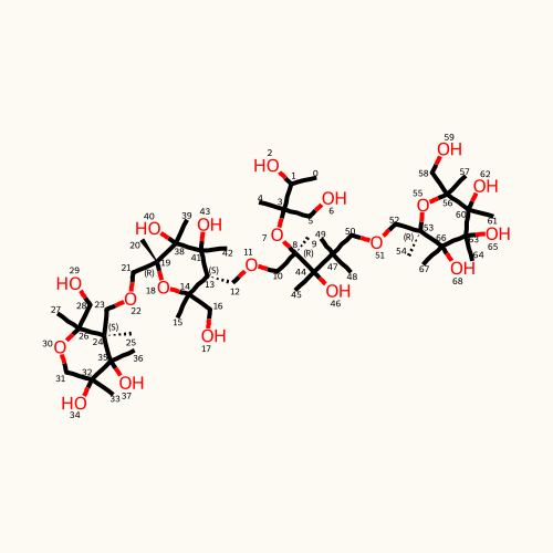 CC(O)C(C)(CO)O[C@](C)(COC[C@@H]1C(C)(CO)O[C@](C)(COC[C@]2(C)C(C)(CO)OCC(C)(O)C2(C)O)C(C)(O)C1(C)O)C(C)(O)C(C)(C)COC[C@@]1(C)OC(C)(CO)C(C)(O)C(C)(O)C1(C)O